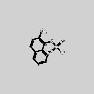 O=[N+]([O-])c1ccc2ccccc2c1OP(=O)(O)O